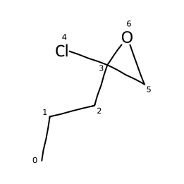 CCCC1(Cl)CO1